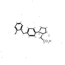 Cc1ccccc1Cc1ccc(N2CC[C@H](C)[C@H]2CC(=O)O)cc1